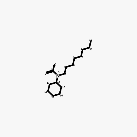 C=C(C)N(CCCCCCCC)C1CCCCC1